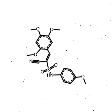 COc1ccc(NS(=O)(=O)C(C#N)=Cc2cc(OC)c(OC)cc2OC)cc1